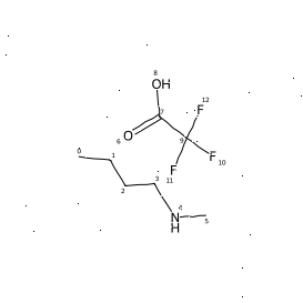 CCCCNC.O=C(O)C(F)(F)F